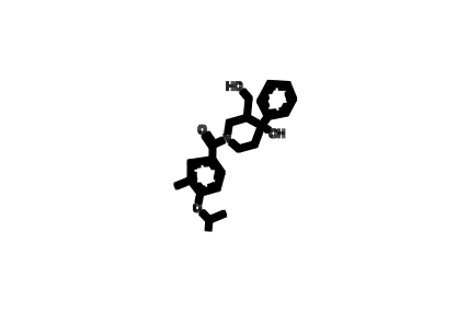 Cc1cc(C(=O)N2CCC(O)(c3ccccc3)C(CO)C2)ccc1OC(C)C